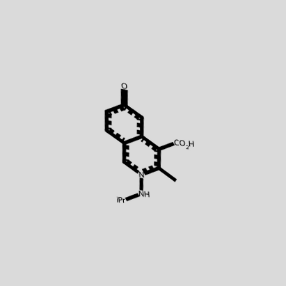 Cc1c(C(=O)O)c2cc(=O)ccc-2cn1NC(C)C